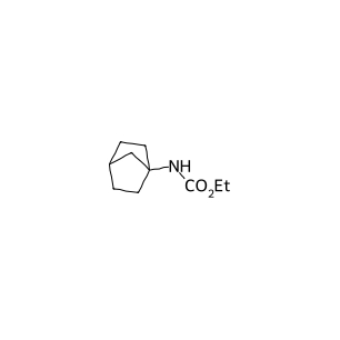 CCOC(=O)NC12CCC(CC1)C2